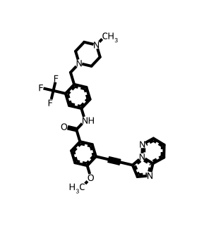 COc1ccc(C(=O)Nc2ccc(CN3CCN(C)CC3)c(C(F)(F)F)c2)cc1C#Cc1cnc2cccnn12